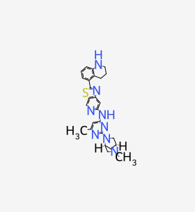 Cc1cc(Nc2cc3nc(-c4cccc5c4CCCN5)sc3cn2)nc(N2C[C@@H]3C[C@H]2CN3C)n1